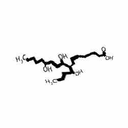 C=CCC(O)[C@H](C/C=C\CCCC(=O)O)C(O)/C=C/[C@@H](O)CCCCC